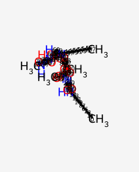 CCCCCCCCCCCCCCCCNS(=O)(=O)c1ccc(/N=N/c2cc(S(C)(=O)=O)c(OCc3ccc(OC(=O)N(CCCCCCCCCCCCCC)c4cccc5c(O)c(C(=O)Nc6ccc(NC(C)=O)cc6)ccc45)cc3)cc2SOOC)cc1